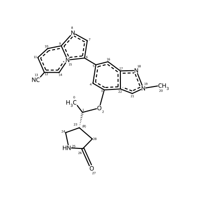 CC(Oc1cc(-c2cnc3ccc(C#N)cn23)cc2nn(C)cc12)[C@H]1CNC(=O)C1